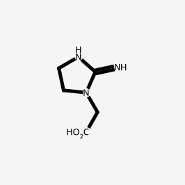 N=C1NCCN1CC(=O)O